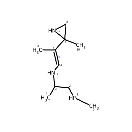 CPCC(C)N/C=C(\C)C1(C)CN1